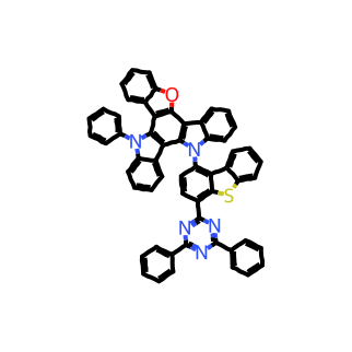 c1ccc(-c2nc(-c3ccccc3)nc(-c3ccc(-n4c5ccccc5c5c6oc7ccccc7c6c6c(c7ccccc7n6-c6ccccc6)c54)c4c3sc3ccccc34)n2)cc1